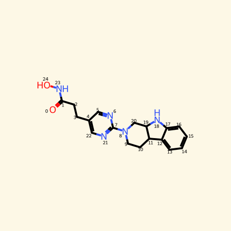 O=C(CCc1cnc(N2CCC3c4ccccc4NC3C2)nc1)NO